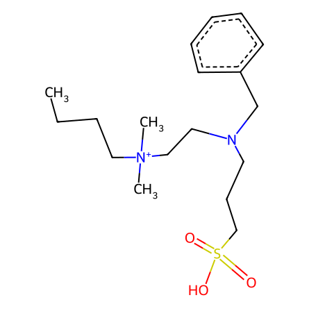 CCCC[N+](C)(C)CCN(CCCS(=O)(=O)O)Cc1ccccc1